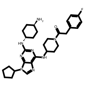 N[C@H]1CC[C@H](Nc2nc(NC3CCN(C(=O)Cc4ccc(F)cc4)CC3)c3ncn(C4CCCC4)c3n2)CC1